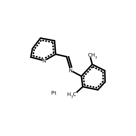 Cc1cccc(C)c1N=Cc1ccccn1.[Pt]